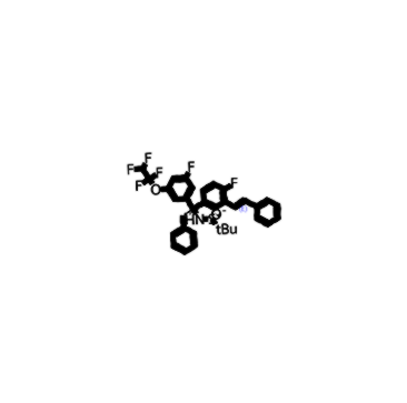 CC(C)(C)[S+]([O-])N[C@@](Cc1ccccc1)(c1cc(F)cc(OC(F)(F)C(F)F)c1)c1ccc(F)c(/C=C/c2ccccc2)c1